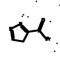 CC(C)C(=O)C1=NN=CC1